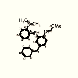 COCOc1ccc(CC2C=CC=CC2)cc1Pc1ccccc1N(C)C